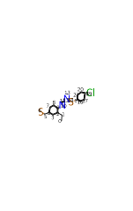 CCc1cc(C=S)ccc1N=CN(C)Sc1ccc(Cl)cc1